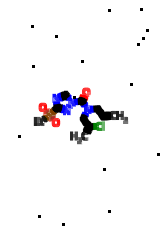 C=CCN(CC(=C)Cl)C(=O)n1cnc(S(=O)(=O)CC)n1